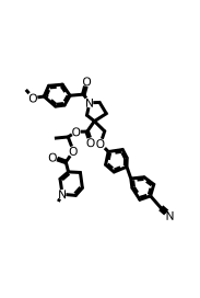 COc1ccc(C(=O)N2CCC(COc3ccc(-c4ccc(C#N)cc4)cc3)(C(=O)OC(C)OC(=O)C3=CN(C)C=CC3)C2)cc1